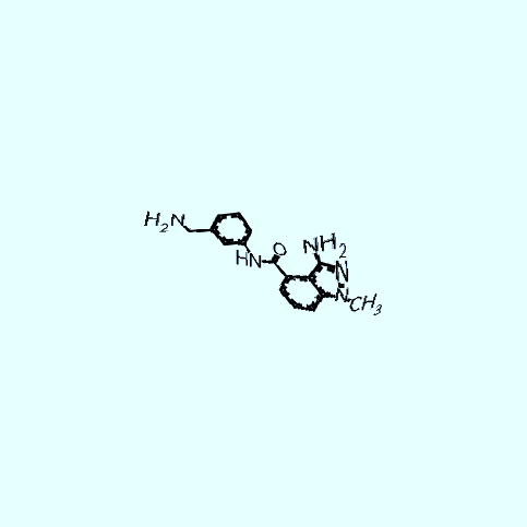 Cn1nc(N)c2c(C(=O)Nc3cccc(CN)c3)cccc21